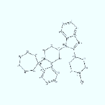 CC(=O)N1CCN(c2nc3ccccc3n2C2CCN(C3(c4ccccc4)CCCCCC3)CC2)CC1